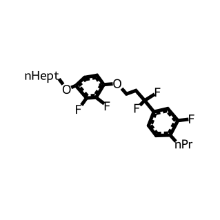 CCCCCCCOc1ccc(OCCC(F)(F)c2ccc(CCC)c(F)c2)c(F)c1F